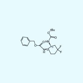 CC(C)(C)OC(=O)N[C@H]1CC(F)(F)CC[C@H]1NC(=O)OCc1ccccc1